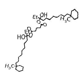 CCC(O)(CCCCCCCCC1(C)CCCCC1)OC(=O)CCCC(=O)OC(O)(CC)CCCCCCCCC1(C)CCCCC1